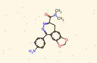 CN(C)C(=O)C1=NN=C(c2ccc(N)cc2)c2cc3c(cc2C1)OCO3